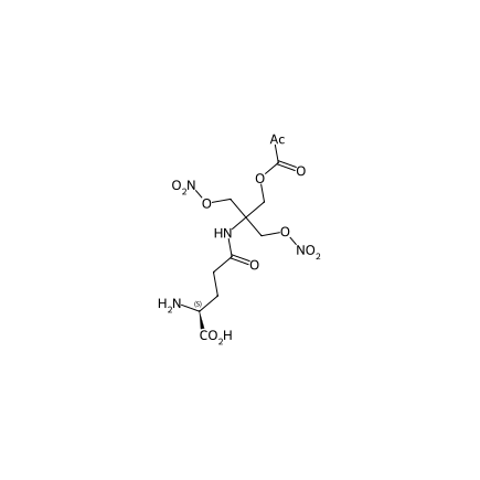 CC(=O)C(=O)OCC(CO[N+](=O)[O-])(CO[N+](=O)[O-])NC(=O)CC[C@H](N)C(=O)O